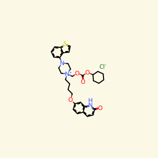 O=C(OC[N+]1(CCCCOc2ccc3ccc(=O)[nH]c3c2)CCN(c2cccc3sccc23)CC1)OC1CCCCC1.[Cl-]